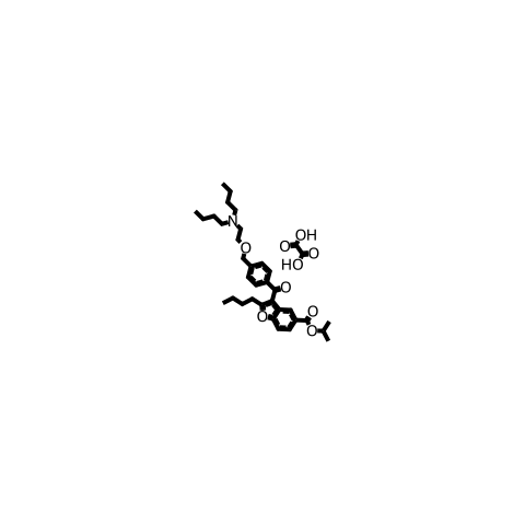 CCCCc1oc2ccc(C(=O)OC(C)C)cc2c1C(=O)c1ccc(COCCN(CCCC)CCCC)cc1.O=C(O)C(=O)O